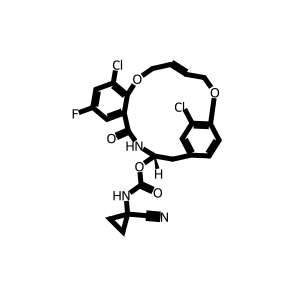 N#CC1(NC(=O)O[C@H]2Cc3ccc(c(Cl)c3)OC/C=C/COc3c(Cl)cc(F)cc3C(=O)N2)CC1